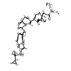 CN(C)C(=O)Cn1cc(-c2ccc3nnc(Sc4ccc5nc(NC(=O)C6CC6)cn5n4)n3c2)cn1